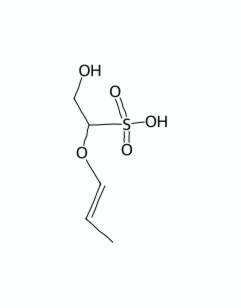 CC=COC(CO)S(=O)(=O)O